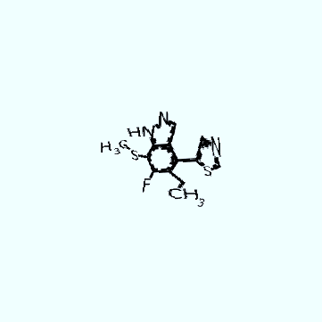 CCc1c(F)c(SC)c2[nH]ncc2c1-c1cncs1